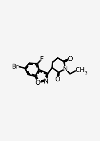 CCN1C(=O)CCC(c2noc3cc(Br)cc(F)c23)C1=O